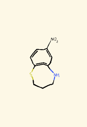 O=[N+]([O-])c1ccc2c(c1)NCCCS2